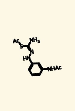 CC(=O)Nc1cccc(NN=C(N)SC(C)=O)c1